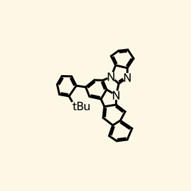 CC(C)(C)c1ccccc1-c1cc2c3cc4ccccc4cc3n3c2c(c1)n1c2ccccc2nc13